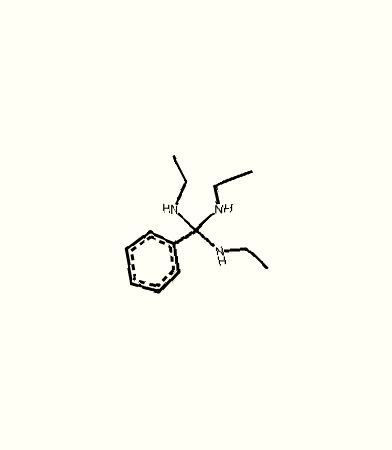 CCNC(NCC)(NCC)c1ccccc1